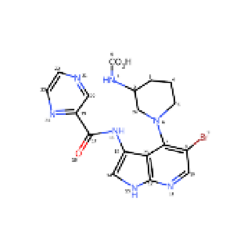 O=C(O)NC1CCCN(c2c(Br)cnc3[nH]cc(NC(=O)c4cnccn4)c23)C1